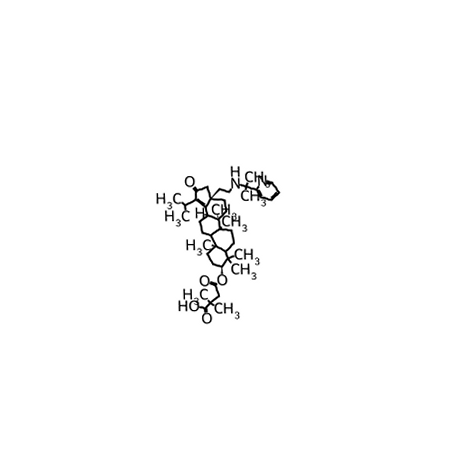 CC(C)C1=C2[C@H]3CCC4[C@@]5(C)CC[C@H](OC(=O)CC(C)(C)C(=O)O)C(C)(C)C5CC[C@@]4(C)[C@]3(C)CC[C@@]2(CCNC(C)(C)c2ccccn2)CC1=O